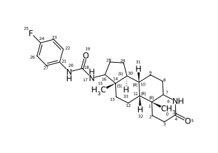 C[C@]12CCC(=O)NC1CC[C@@H]1[C@H]2CC[C@]2(C)C(NC(=O)Nc3ccc(F)cc3)CC[C@@H]12